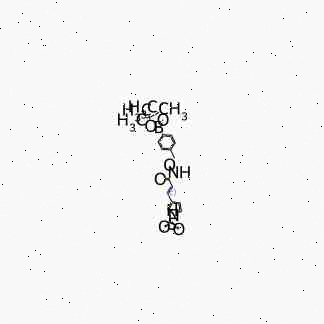 CC1(C)OB(c2ccc(CONC(=O)/C=C/c3ccn([SH](=O)=O)c3)cc2)OC1(C)C